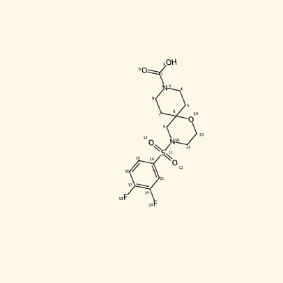 O=C(O)N1CCC2(CC1)CN(S(=O)(=O)c1ccc(F)c(F)c1)CCO2